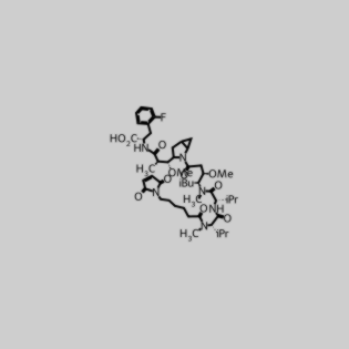 CC[C@H](C)[C@@H]([C@@H](CC(=O)N1C2CC2CC1[C@H](OC)[C@@H](C)C(=O)N[C@@H](Cc1ccccc1F)C(=O)O)OC)N(C)C(=O)[C@@H](NC(=O)[C@H](C(C)C)N(C)C(=O)CCCCCN1C(=O)C=CC1=O)C(C)C